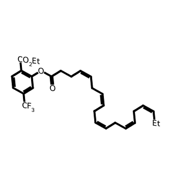 CC/C=C\C/C=C\C/C=C\C/C=C\C/C=C\CCC(=O)Oc1cc(C(F)(F)F)ccc1C(=O)OCC